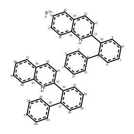 [Ir+3].c1ccc(-c2ccccc2-c2ccc3ccccc3n2)cc1.c1ccc(-c2ccccc2-c2ccc3ccccc3n2)cc1